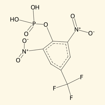 O=[N+]([O-])c1cc(C(F)(F)F)cc([N+](=O)[O-])c1OP(=O)(O)O